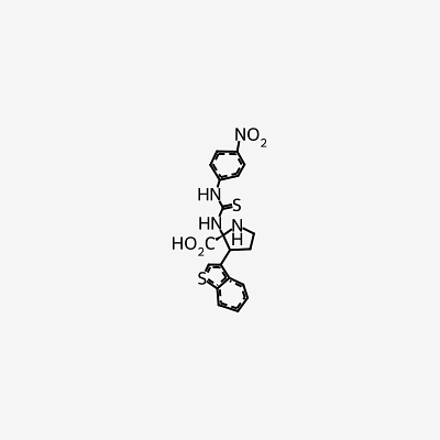 O=C(O)[C@@]1(NC(=S)Nc2ccc([N+](=O)[O-])cc2)NCCC1c1csc2ccccc12